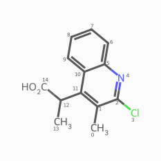 Cc1c(Cl)nc2ccccc2c1C(C)C(=O)O